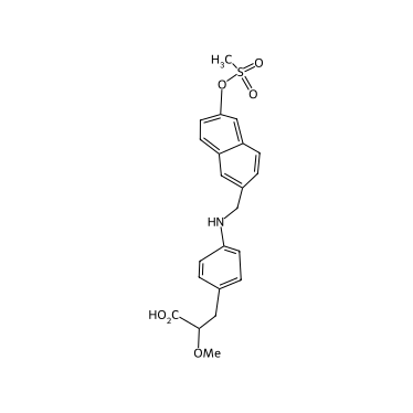 COC(Cc1ccc(NCc2ccc3cc(OS(C)(=O)=O)ccc3c2)cc1)C(=O)O